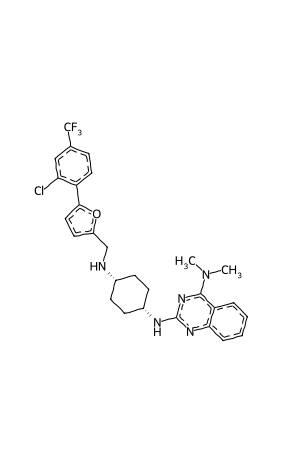 CN(C)c1nc(N[C@H]2CC[C@@H](NCc3ccc(-c4ccc(C(F)(F)F)cc4Cl)o3)CC2)nc2ccccc12